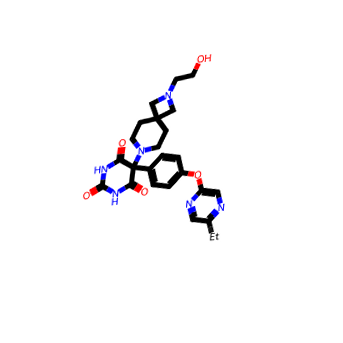 CCc1cnc(Oc2ccc(C3(N4CCC5(CC4)CN(CCO)C5)C(=O)NC(=O)NC3=O)cc2)cn1